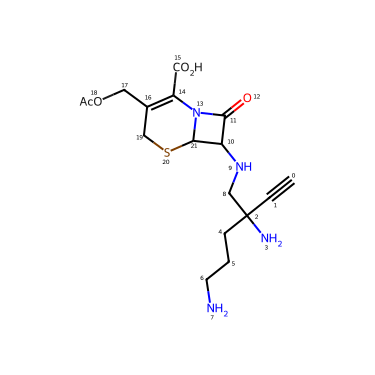 C#CC(N)(CCCN)CNC1C(=O)N2C(C(=O)O)=C(COC(C)=O)CSC12